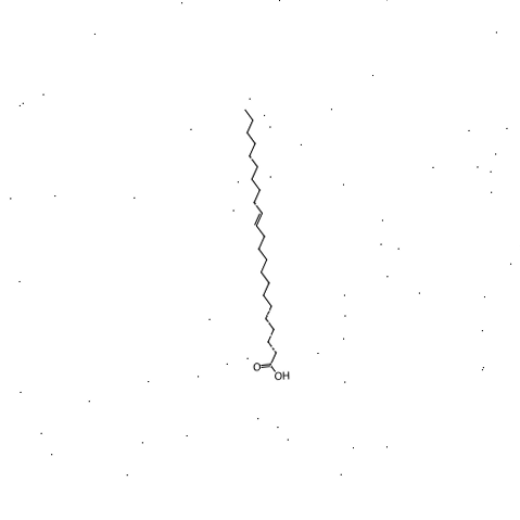 CCCCCCCCCC=CCCCCCCCCCCCC(=O)O